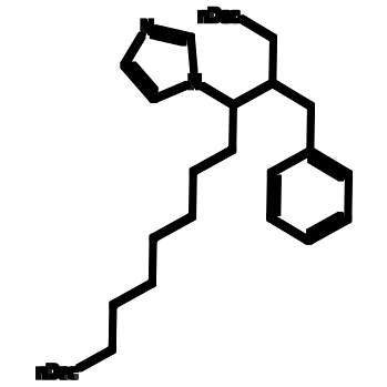 CCCCCCCCCCCCCCCCCC(C(CCCCCCCCCCC)Cc1ccccc1)n1ccnc1